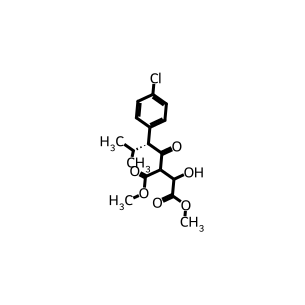 COC(=O)C(O)C(C(=O)OC)C(=O)[C@@H](c1ccc(Cl)cc1)C(C)C